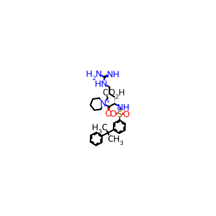 CC(C)(c1ccccc1)c1cccc(S(=O)(=O)N[C@@H](CCCNC(=N)N)C(=O)[N+]2(CC(=O)O)CCCCC2)c1